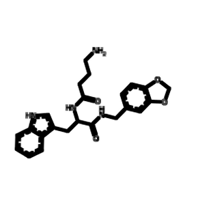 NCCCC(=O)NC(Cc1c[nH]c2ccccc12)C(=O)NCc1ccc2c(c1)OCO2